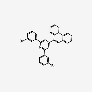 Brc1cccc(-c2cc(-c3cc4ccccc4c4ccccc34)cc(-c3cccc(Br)c3)n2)c1